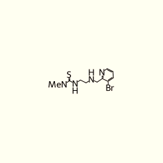 CNC(=S)NCCNCc1ncccc1Br